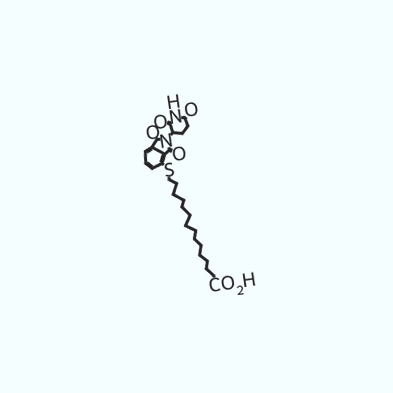 O=C(O)CCCCCCCCCCCCCCSc1cccc2c1C(=O)N(C1CCC(=O)NC1=O)C2=O